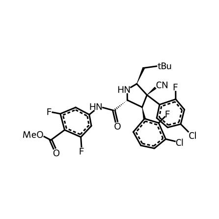 COC(=O)c1c(F)cc(NC(=O)[C@@H]2N[C@@H](CC(C)(C)C)[C@](C#N)(c3ccc(Cl)cc3F)[C@H]2c2cccc(Cl)c2F)cc1F